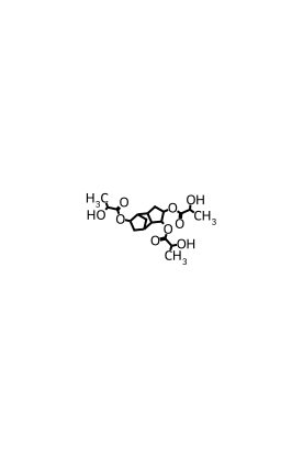 CC(O)C(=O)OC1CC2CC1C1CC(OC(=O)C(C)O)C(OC(=O)C(C)O)C21